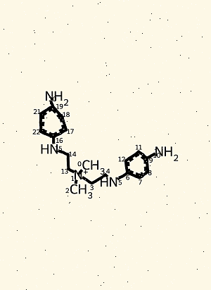 C[N+](C)(CCNc1ccc(N)cc1)CCNc1ccc(N)cc1